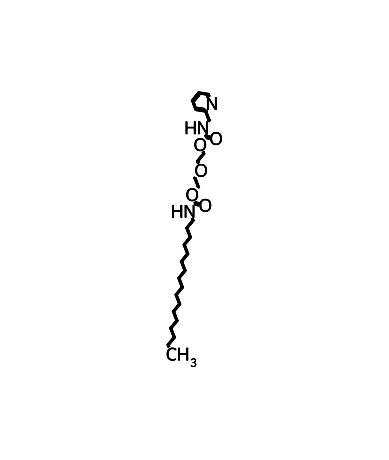 CCCCCCCCCCCCCCCCCNC(=O)OCCOCCOC(=O)NCc1ccccn1